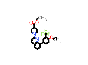 CCOC(=O)C1CCN(c2ccc3cccc(-c4ccc(OC)c(C(F)(F)F)c4)c3n2)CC1